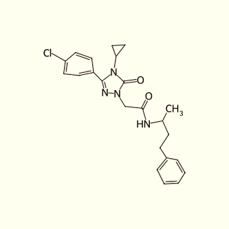 CC(CCc1ccccc1)NC(=O)Cn1nc(-c2ccc(Cl)cc2)n(C2CC2)c1=O